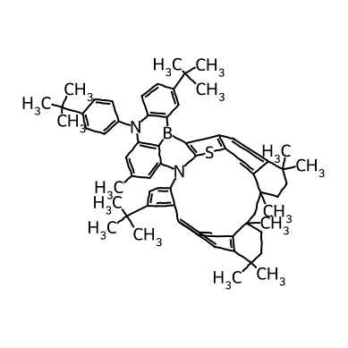 Cc1cc2c3c(c1)N1c4ccc(C(C)(C)C)cc4-c4ccc5c(c4)C(C)(C)CCC5(C)CC4(C)CCC(C)(C)c5cc6c(c1sc6cc54)B3c1cc(C(C)(C)C)ccc1N2c1ccc(C(C)(C)C)cc1